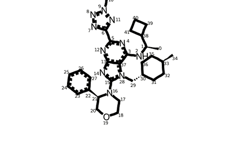 C[C@@H](Nc1nc(-c2nnn(C)n2)nc2nc(N3CCOC[C@H]3c3ccccc3)n(C[C@H]3CC[C@H](C)CC3)c12)C1CCC1